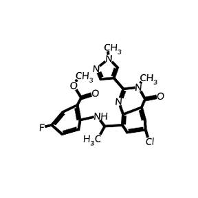 COC(=O)c1cc(F)ccc1NC(C)c1cc(Cl)cc2c(=O)n(C)c(-c3cnn(C)c3)nc12